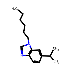 CCCCCCn1cnc2ccc(C(C)C)cc21